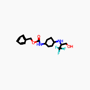 O=C(NC1CCC(NC(CO)C(F)(F)F)CC1)OCc1ccccc1